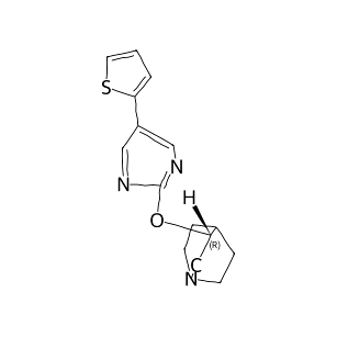 c1csc(-c2cnc(O[C@H]3CN4CCC3CC4)nc2)c1